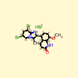 Br.COc1ccc(-c2nc3c(Br)cc(Br)cn3c2C)c2ccc(=O)[nH]c12